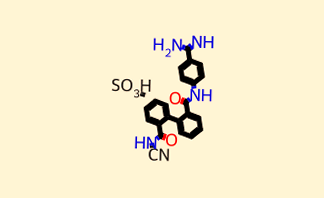 CS(=O)(=O)O.N#CNC(=O)c1ccccc1-c1ccccc1C(=O)Nc1ccc(C(=N)N)cc1